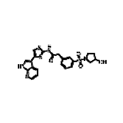 O=C(Cc1cccc(S(=O)(=O)N2CCC(O)C2)c1)Nc1nc(-c2c[nH]c3ncccc23)cs1